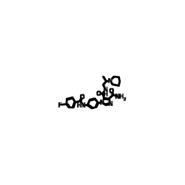 CC(CNC(=O)c1c(C(N)=O)ncn1-c1ccc(NC(=O)c2ccc(F)cc2)cc1)N1CCCCC1